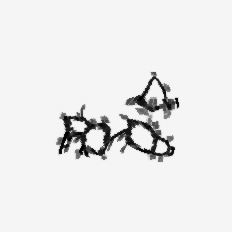 Cc1c[nH]c2ncc(-c3cc4c(c([C@@H]5CCCN5)c3)COC4)cc12